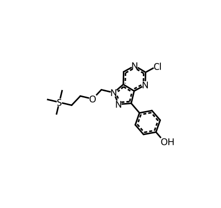 CS(C)(C)CCOCn1nc(-c2ccc(O)cc2)c2nc(Cl)ncc21